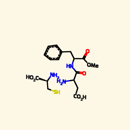 COC(=O)C(Cc1ccccc1)NC(=O)C(N)CC(=O)O.N[C@@H](CS)C(=O)O